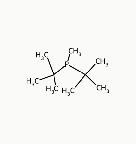 CP(C(C)(C)C)C(C)(C)C